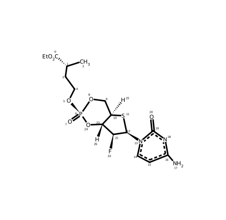 CCOC(=O)[C@H](C)CCO[P@@]1(=O)OC[C@H]2S[C@@H](n3ccc(N)nc3=O)[C@@H](F)[C@@H]2O1